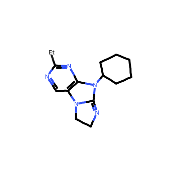 CCc1ncc2c(n1)N(C1CCCCC1)C1=NCCN12